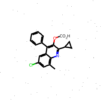 Cc1cc(Cl)cc2c(-c3ccccc3)c(OC(=O)O)c(C3CC3)nc12